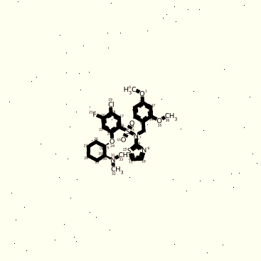 COc1ccc(CN(c2nccs2)S(=O)(=O)c2cc(Cl)c(F)cc2O[C@H]2CCCC[C@@H]2N(C)C)c(OC)c1